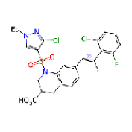 CCn1cc(S(=O)(=O)N2CC(C(=O)O)Cc3ccc(/C=C(\C)c4c(F)cccc4Cl)cc32)c(Cl)n1